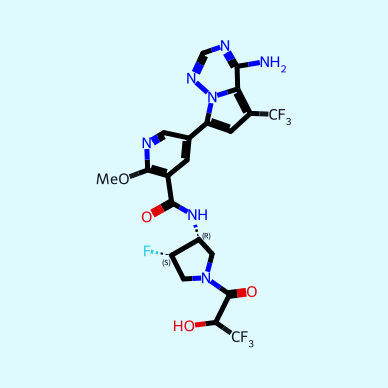 COc1ncc(-c2cc(C(F)(F)F)c3c(N)ncnn23)cc1C(=O)N[C@@H]1CN(C(=O)C(O)C(F)(F)F)C[C@@H]1F